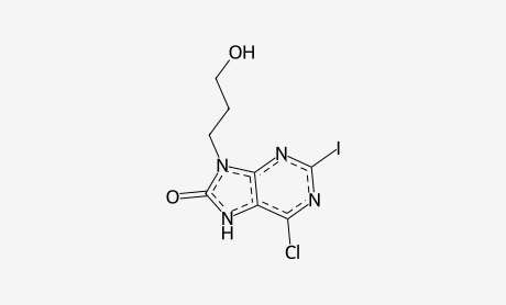 O=c1[nH]c2c(Cl)nc(I)nc2n1CCCO